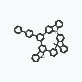 CC1(C)c2ccccc2-c2ccc(-n3c4ccccc4c4ccc(-c5cc(-c6ccc(-c7ccccc7)cc6)cc(-c6cc(-c7ccccc7)c7oc8ccccc8c7c6)c5)cc43)cc21